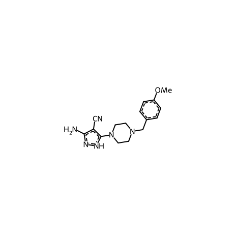 COc1ccc(CN2CCN(c3[nH]nc(N)c3C#N)CC2)cc1